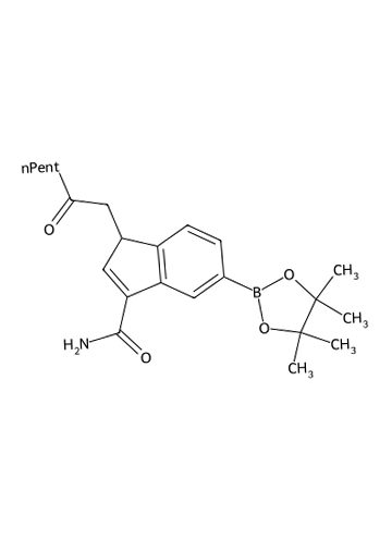 CCCCCC(=O)CC1C=C(C(N)=O)c2cc(B3OC(C)(C)C(C)(C)O3)ccc21